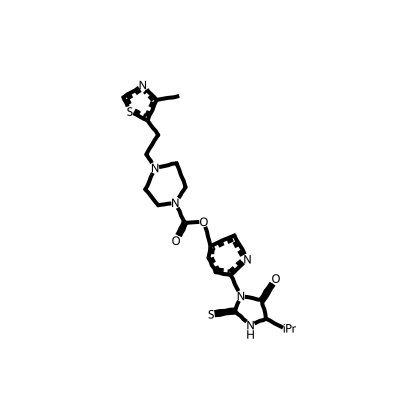 Cc1ncsc1CCN1CCN(C(=O)Oc2ccc(N3C(=O)C(C(C)C)NC3=S)nc2)CC1